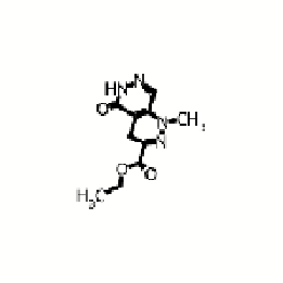 CCOC(=O)C1=NN(C)c2cn[nH]c(=O)c2C1